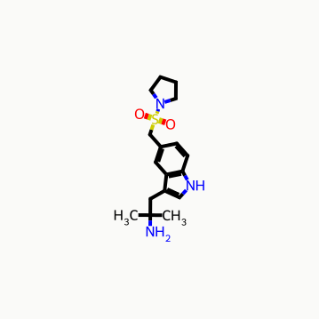 CC(C)(N)Cc1c[nH]c2ccc(CS(=O)(=O)N3CCCC3)cc12